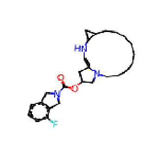 O=C(OC1CC2=CNC3CC3CCCCCCCCCN2C1)N1Cc2cccc(F)c2C1